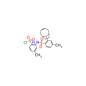 Cc1ccc(S(=O)(=O)Cl)cc1.Cc1ccc(S(N)(=O)=O)c(C2C3CC=CCC2CC3)c1